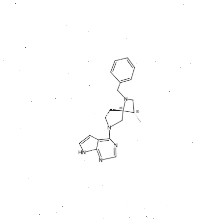 C[C@H]1CN(Cc2ccccc2)[C@]12CCN(c1ncnc3[nH]ccc13)C2